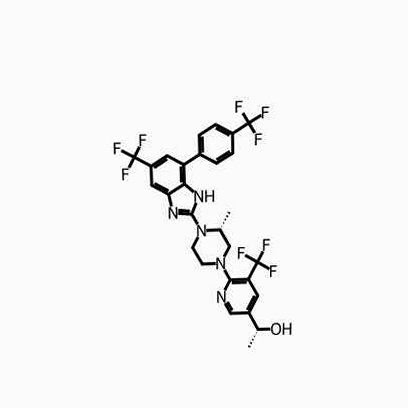 C[C@@H]1CN(c2ncc([C@@H](C)O)cc2C(F)(F)F)CCN1c1nc2cc(C(F)(F)F)cc(-c3ccc(C(F)(F)F)cc3)c2[nH]1